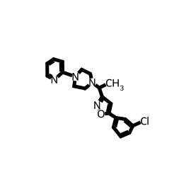 CC(c1cc(-c2cccc(Cl)c2)on1)N1CCN(c2ccccn2)CC1